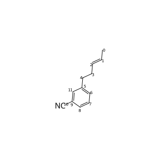 CC=CCCc1cccc(C#N)c1